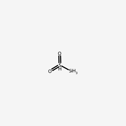 O=[SH](=O)[SiH3]